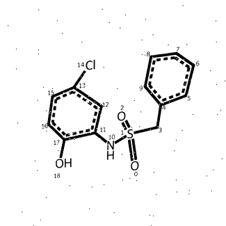 O=S(=O)(Cc1ccccc1)Nc1cc(Cl)ccc1O